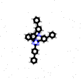 c1ccc(-c2ccc(-c3nc(-c4ccccc4)nc(-c4ccc(-c5ccccc5)cc4-n4c5ccccc5c5cc(-c6ccccc6)ccc54)n3)cc2)cc1